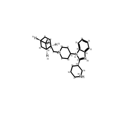 CC1(C)[C@H]2CC[C@@H](CN3CCC(n4c([C@@H]5CCCNC5)nc5ccccc54)CC3)[C@H]1C2